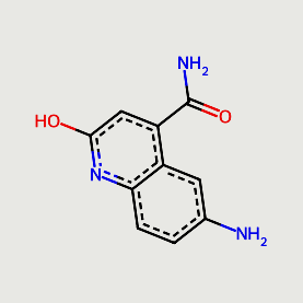 NC(=O)c1cc(O)nc2ccc(N)cc12